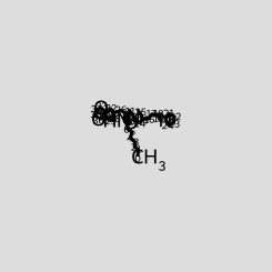 CCCCCCCC(=O)N/C(=C\N1CCC(CCCCN2CCCC2)C1)Cc1ccc2c(c1)OCCO2